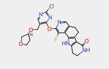 O=C1NCCc2[nH]c3c(c21)CCc1cnc(Oc2nc(Cl)ncc2CO[C@H]2CCOC2)c(F)c1-3